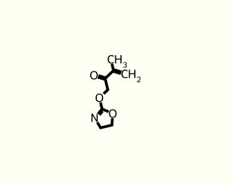 C=C(C)C(=O)COC1=NCCO1